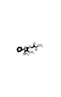 CNC(=O)COc1nn(-c2ccccc2)c(N)c1C